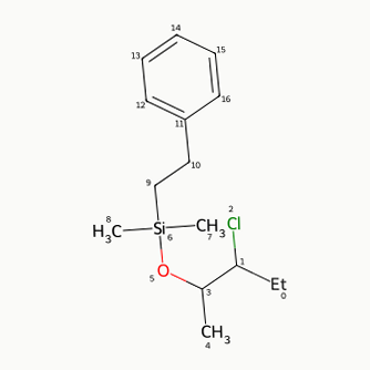 CCC(Cl)C(C)O[Si](C)(C)CCc1ccccc1